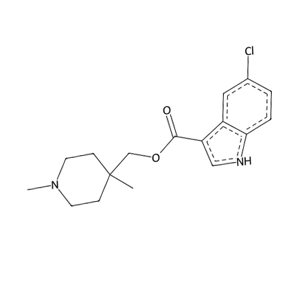 CN1CCC(C)(COC(=O)c2c[nH]c3ccc(Cl)cc23)CC1